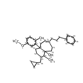 COc1ccc(C)c(C23CCN(CCCc4ccccc4)CCC2(O)C(C)N(CC2CC2)CC3)c1